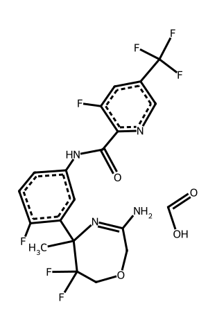 CC1(c2cc(NC(=O)c3ncc(C(F)(F)F)cc3F)ccc2F)N=C(N)COCC1(F)F.O=CO